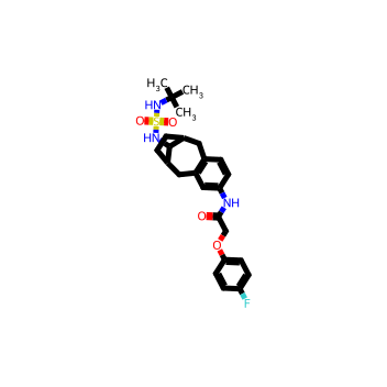 CC(C)(C)NS(=O)(=O)NC1C2CCC1Cc1cc(NC(=O)COc3ccc(F)cc3)ccc1C2